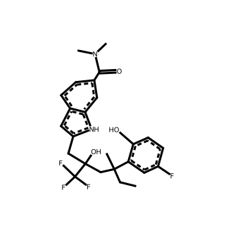 CCC(C)(CC(O)(Cc1cc2ccc(C(=O)N(C)C)cc2[nH]1)C(F)(F)F)c1cc(F)ccc1O